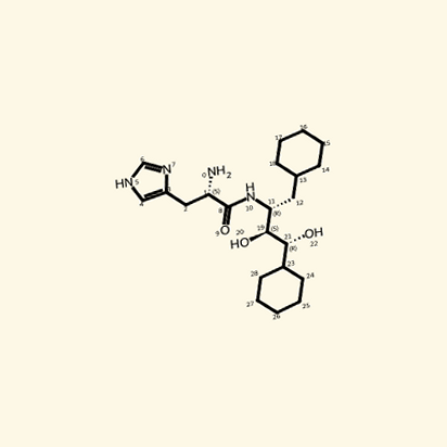 N[C@@H](Cc1c[nH]cn1)C(=O)N[C@H](CC1CCCCC1)[C@H](O)[C@H](O)C1CCCCC1